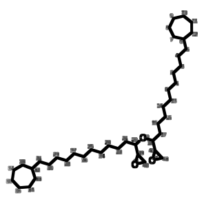 C(CCCCCC1CCCCCC1)CCCCCC(OC(CCCCCCCCCCCC1CCCCCC1)C1CO1)C1CO1